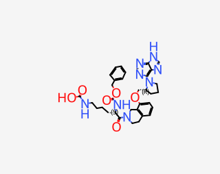 O=C(O)NCCCC[C@H](NC(=O)OCc1ccccc1)C(=O)N1CCc2cccc(OC[C@H]3CCCN3c3ncnc4[nH]cnc34)c2C1